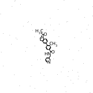 CCC(=O)N1CCc2cc(-c3ccc(C(=O)NCc4cccnc4)cc3C)ccc21